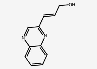 OCC=Cc1cnc2ccccc2n1